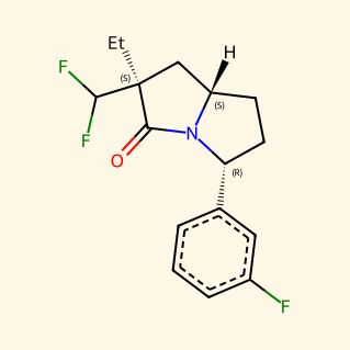 CC[C@]1(C(F)F)C[C@@H]2CC[C@H](c3cccc(F)c3)N2C1=O